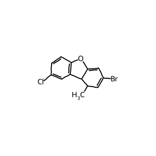 CC1C=C(Br)C=C2Oc3ccc(Cl)cc3C21